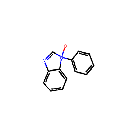 [O-][N+]1(c2ccccc2)C=Nc2ccccc21